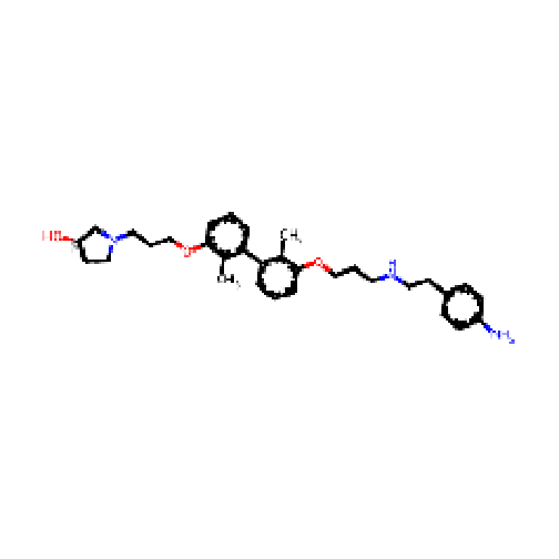 Cc1c(OCCCNCCc2ccc(N)cc2)cccc1-c1cccc(OCCCN2CC[C@@H](O)C2)c1C